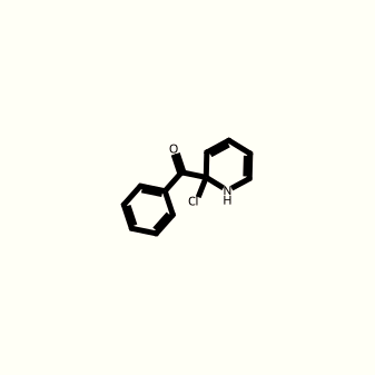 O=C(c1ccccc1)C1(Cl)C=CC=CN1